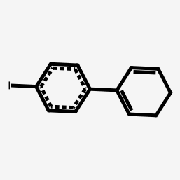 Ic1ccc(C2=CCCC=C2)cc1